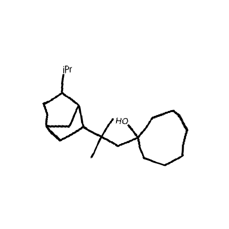 CC(C)C1CC2CC1C(C(C)(C)CC1(O)CCCCCC1)C2